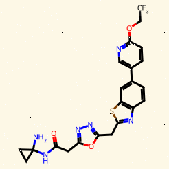 NC1(NC(=O)Cc2nnc(Cc3nc4ccc(-c5ccc(OCC(F)(F)F)nc5)cc4s3)o2)CC1